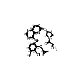 C=CC(=O)N1CC[C@H](Oc2ccc3ncnc(Nc4ccc(F)c(Cl)c4OC4CC4)c3n2)C1